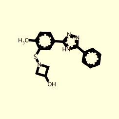 Cc1ccc(-c2nnc(-c3ccccc3)[nH]2)cc1SN1CC(O)C1